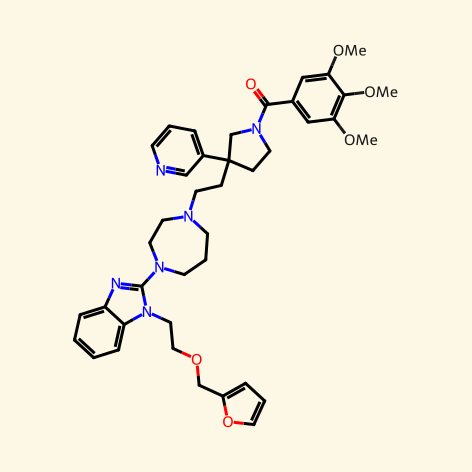 COc1cc(C(=O)N2CCC(CCN3CCCN(c4nc5ccccc5n4CCOCc4ccco4)CC3)(c3cccnc3)C2)cc(OC)c1OC